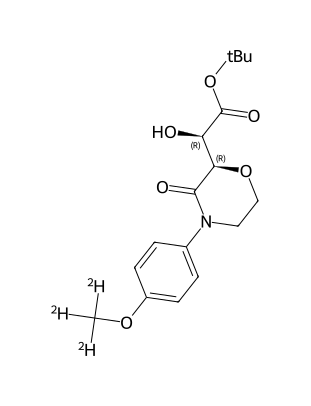 [2H]C([2H])([2H])Oc1ccc(N2CCO[C@H]([C@@H](O)C(=O)OC(C)(C)C)C2=O)cc1